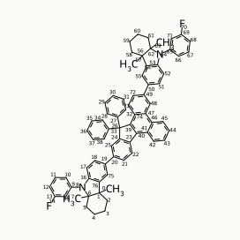 CC12CCCCC1(C)N(c1cccc(F)c1)c1ccc(-c3ccc4c(c3)C(c3ccccc3)(c3ccccc3)c3c-4c4ccccc4c4cc(-c5ccc6c(c5)C5(C)CCCCC5(C)N6c5cccc(F)c5)ccc34)cc12